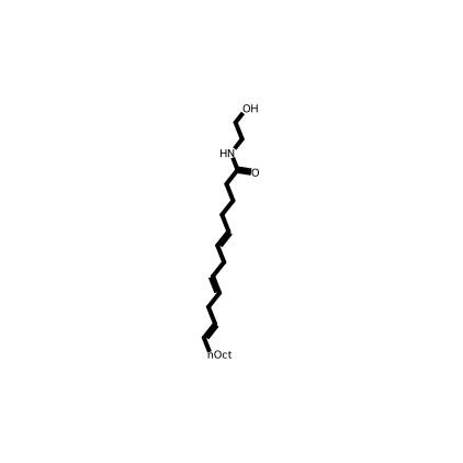 CCCCCCCC/C=C/C/C=C/C/C=C/CCCC(=O)NCCO